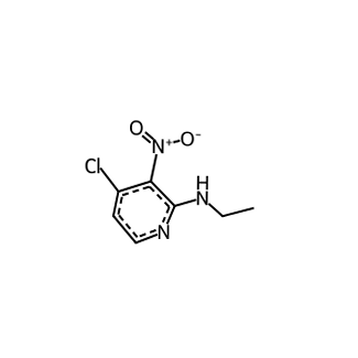 CCNc1nccc(Cl)c1[N+](=O)[O-]